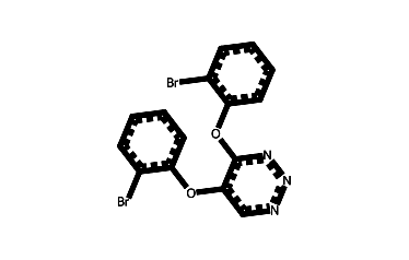 Brc1ccccc1Oc1cnnnc1Oc1ccccc1Br